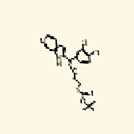 CC(C)(C)OC(=O)NCCO/N=C(\c1ccc(Cl)c(Cl)c1)c1cc2ccncc2[nH]1